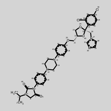 CC(C)N1CC(=O)N(c2ccc(N3CCN(c4ccc(OC[C@@H]5CO[C@@](Cn6ccnc6)(c6ccc(Cl)cc6Cl)O5)cc4)CC3)cc2)C1=O